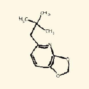 CC(C)(C)Cc1ccc2c(n1)OCO2